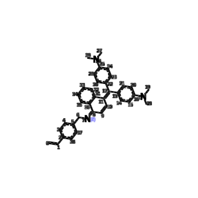 C=Cc1ccc(C/N=C2/C=CC(=C(c3ccc(N(C)C)cc3)c3ccc(N(C)C)cc3)c3ccccc32)cc1